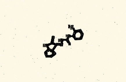 O=C1Nc2ccccc2/C1=N/NC(=S)Nc1ccccc1C(F)(F)F